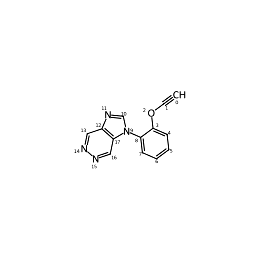 C#COc1ccccc1-n1cnc2cnncc21